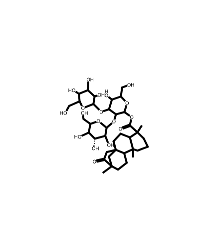 CC12CCC3C(CCC4C(C)(C(=O)OC5OC(CO)C(O)C(OC6OC(CO)C(O)C(O)C6O)C5OC5OC(CO)C(O)[C@@H](O)C5O)CCCC34C)(CC1=O)C2